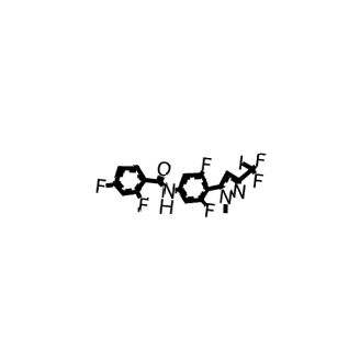 Cn1nc(C(F)(F)I)cc1-c1c(F)cc(NC(=O)c2ccc(F)cc2F)cc1F